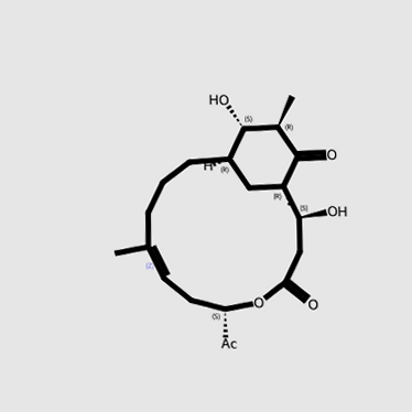 CC(=O)[C@@H]1C/C=C(/C)CCC[C@@H]2C[C@@](C)(C(=O)[C@H](C)[C@H]2O)[C@@H](O)CC(=O)O1